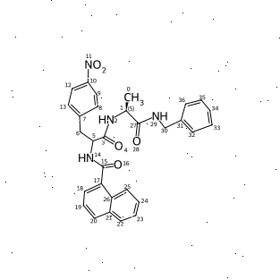 C[C@H](NC(=O)C(Cc1ccc([N+](=O)[O-])cc1)NC(=O)c1cccc2ccccc12)C(=O)NCc1ccccc1